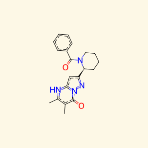 Cc1[nH]c2cc([C@@H]3CCCCN3C(=O)c3ccccc3)nn2c(=O)c1C